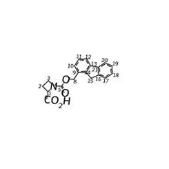 O=C(O)C1CCN1C(=O)OCc1cccc2c1Cc1ccccc1-2